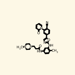 Cc1ccc(NC(=O)CCN2CCN(C)CC2)cc1Nc1ncc(-c2ccc(C#N)c(-n3ccccc3=O)c2)o1